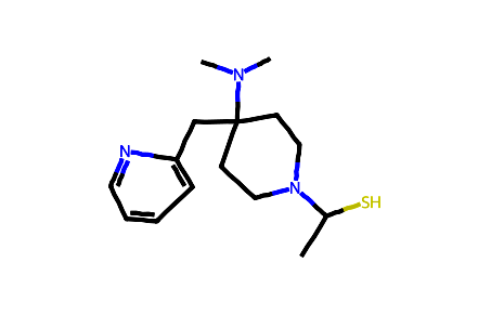 CC(S)N1CCC(Cc2ccccn2)(N(C)C)CC1